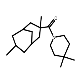 CC1CC2CC(C1)CC(C)(C(=O)N1CCC(C)(C)CC1)C2